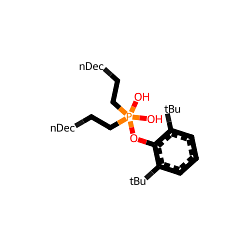 CCCCCCCCCCCCP(O)(O)(CCCCCCCCCCCC)Oc1c(C(C)(C)C)cccc1C(C)(C)C